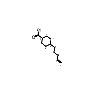 C=CCCCC1CCC(C(=O)O)CC1